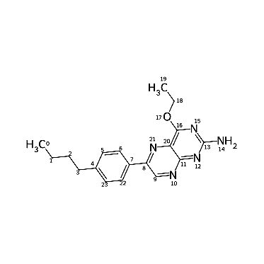 CCCCc1ccc(-c2cnc3nc(N)nc(OCC)c3n2)cc1